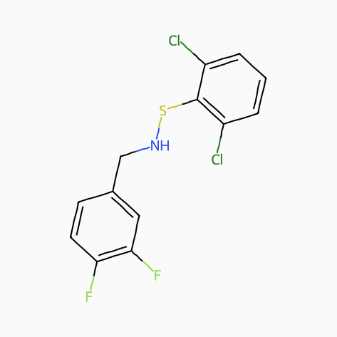 Fc1ccc(CNSc2c(Cl)cccc2Cl)cc1F